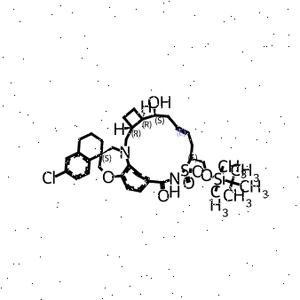 CC(C)(C)[Si](C)(C)OC[C@@H]1C/C=C/C[C@H](O)[C@@H]2CC[C@H]2CN2C[C@@]3(CCCc4cc(Cl)ccc43)COc3ccc(cc32)C(=O)NS1(=O)=O